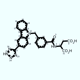 O=C(O)CC(NC(=O)c1cccc(Cn2c3ccccc3c3cc(-c4nn[nH]n4)ccc32)c1)C(=O)O